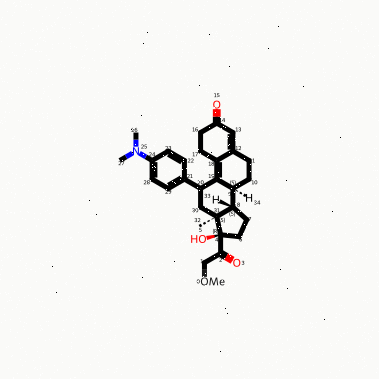 COCC(=O)[C@@]1(O)CC[C@H]2[C@@H]3CCC4=CC(=O)CCC4=C3C(c3ccc(N(C)C)cc3)C[C@@]21C